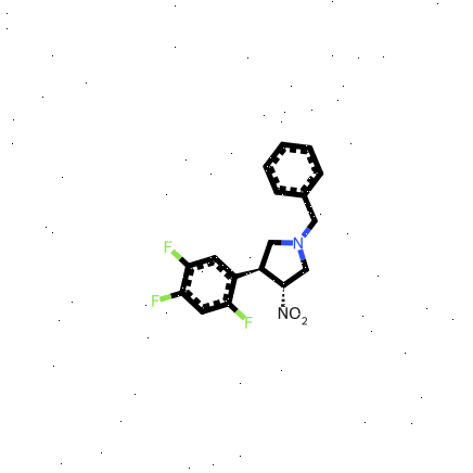 O=[N+]([O-])[C@H]1CN(Cc2ccccc2)C[C@@H]1c1cc(F)c(F)cc1F